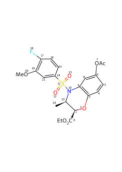 CCOC(=O)[C@@H]1Oc2ccc(OC(C)=O)cc2N(S(=O)(=O)c2ccc(F)c(OC)c2)[C@@H]1C